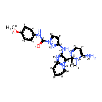 COc1ccc(NC(=O)n2ccc(Nc3nc4ccccn4c3C3(C)N=CC=C(N)N3)n2)cc1